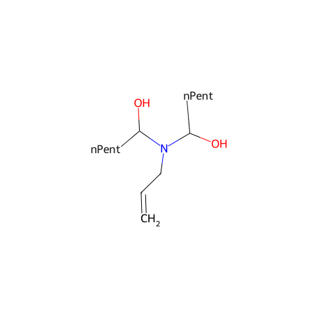 C=CCN(C(O)CCCCC)C(O)CCCCC